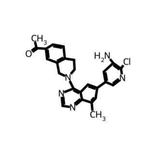 CC(=O)c1ccc2c(c1)CN(c1ncnc3c(C)cc(-c4cnc(Cl)c(N)c4)cc13)CC2